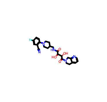 N#Cc1cc(F)ccc1N1CCC(CNC(=O)C(O)[C@@H](O)C(=O)N2CCc3cccnc3C2)CC1